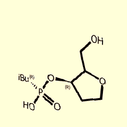 CC[C@@H](C)P(=O)(O)O[C@@H]1CCOC1CO